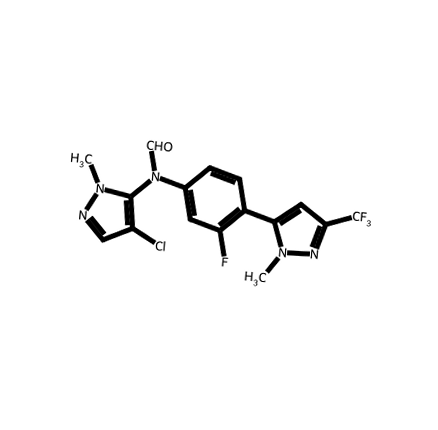 Cn1nc(C(F)(F)F)cc1-c1ccc(N(C=O)c2c(Cl)cnn2C)cc1F